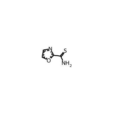 NC(=S)c1ncco1